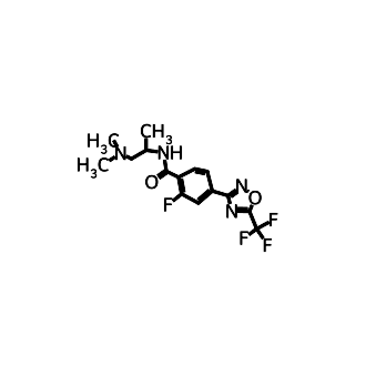 CC(CN(C)C)NC(=O)c1ccc(-c2noc(C(F)(F)F)n2)cc1F